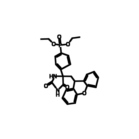 CCOP(=O)(OCC)c1ccc(C2(CC3c4ccccc4Oc4ccccc43)NC(=O)NC2=O)cc1